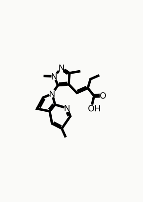 CCC(=Cc1c(C)nn(C)c1-n1ccc2cc(C)cnc21)C(=O)O